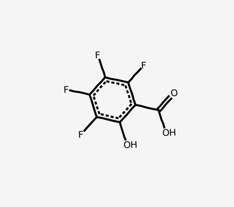 O=C(O)c1c(O)c(F)c(F)c(F)c1F